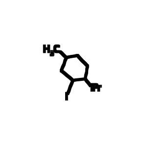 CC1CCC(C(C)C)C(I)C1